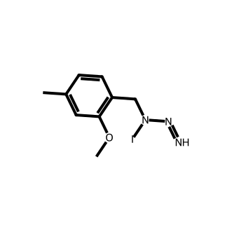 COc1cc(C)ccc1CN(I)N=N